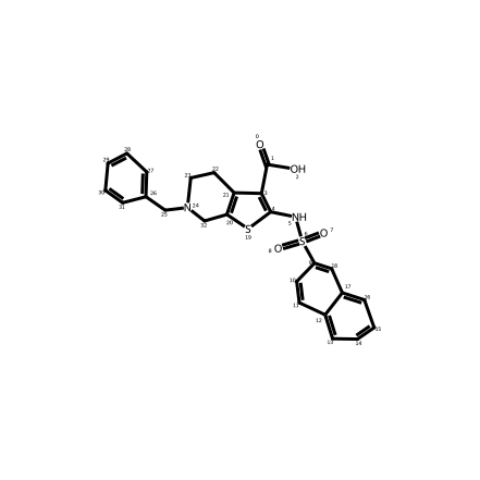 O=C(O)c1c(NS(=O)(=O)c2ccc3ccccc3c2)sc2c1CCN(Cc1ccccc1)C2